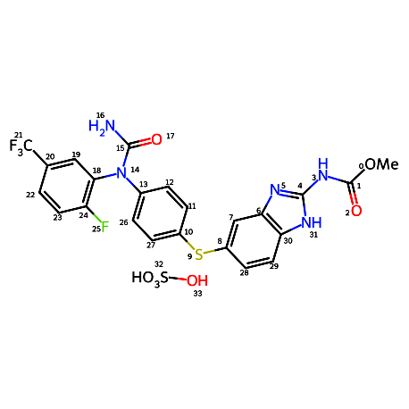 COC(=O)Nc1nc2cc(Sc3ccc(N(C(N)=O)c4cc(C(F)(F)F)ccc4F)cc3)ccc2[nH]1.O=S(=O)(O)O